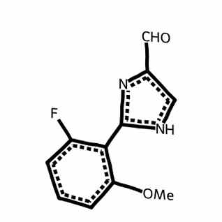 COc1cccc(F)c1-c1nc(C=O)c[nH]1